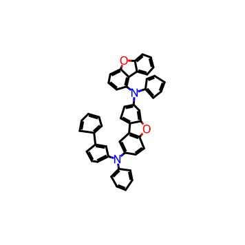 c1ccc(-c2cccc(N(c3ccccc3)c3ccc4oc5cc(N(c6ccccc6)c6cccc7oc8ccccc8c67)ccc5c4c3)c2)cc1